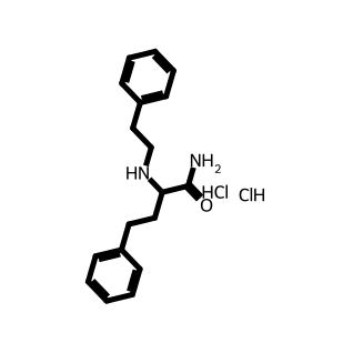 Cl.Cl.NC(=O)C(CCc1ccccc1)NCCc1ccccc1